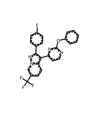 Fc1ccc(-c2nn3cc(C(F)(F)F)ccc3c2-c2ccnc(Oc3ccccc3)n2)cc1